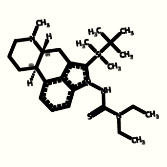 CCN(CC)C(=S)Nn1c([Si](C)(C)C(C)(C)C)c2c3c(cccc31)[C@H]1CCCN(C)[C@@H]1C2